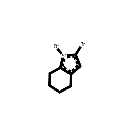 [O-][s+]1c(Br)cc2c1CCCC2